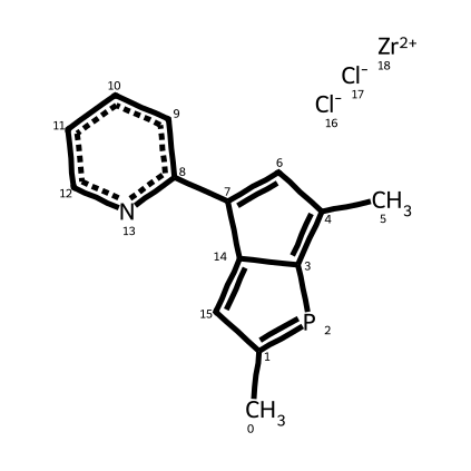 CC1=PC2=C(C)C=C(c3ccccn3)C2=C1.[Cl-].[Cl-].[Zr+2]